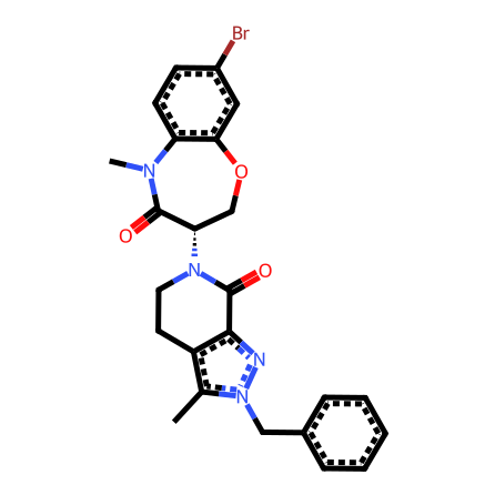 Cc1c2c(nn1Cc1ccccc1)C(=O)N([C@H]1COc3cc(Br)ccc3N(C)C1=O)CC2